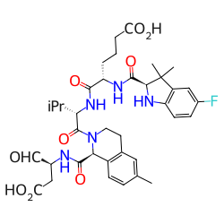 Cc1ccc2c(c1)CCN(C(=O)[C@@H](NC(=O)[C@H](CCCC(=O)O)NC(=O)[C@@H]1Nc3ccc(F)cc3C1(C)C)C(C)C)[C@@H]2C(=O)N[C@H](C=O)CC(=O)O